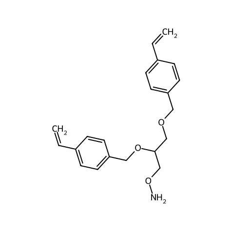 C=Cc1ccc(COCC(CON)OCc2ccc(C=C)cc2)cc1